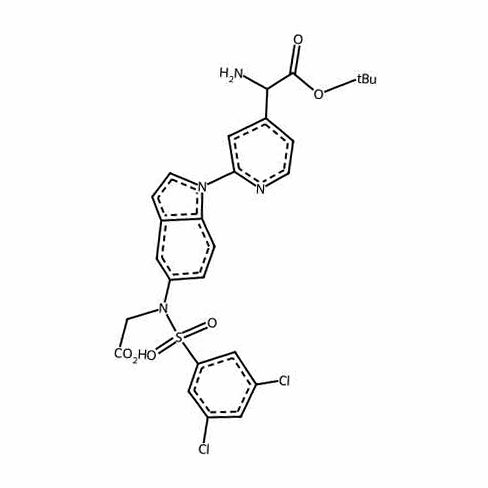 CC(C)(C)OC(=O)C(N)c1ccnc(-n2ccc3cc(N(CC(=O)O)S(=O)(=O)c4cc(Cl)cc(Cl)c4)ccc32)c1